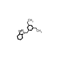 CCc1cc(CC)cc(Cn2nnc3ccccc32)c1